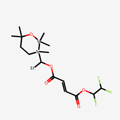 CCC(OC(=O)C=CC(=O)OC(F)C(F)F)[Si]1(C)CCC(C)(C)O[Si]1(C)C